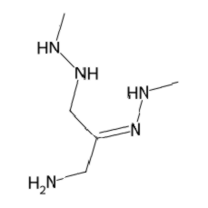 CN/N=C(/CN)CNNC